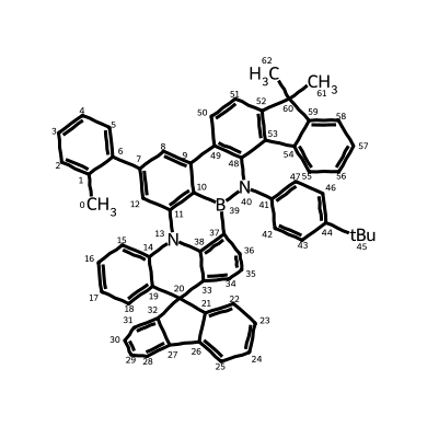 Cc1ccccc1-c1cc2c3c(c1)N1c4ccccc4C4(c5ccccc5-c5ccccc54)c4cccc(c41)B3N(c1ccc(C(C)(C)C)cc1)c1c-2ccc2c1-c1ccccc1C2(C)C